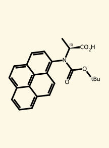 C[C@@H](C(=O)O)N(C(=O)OC(C)(C)C)c1ccc2ccc3cccc4ccc1c2c34